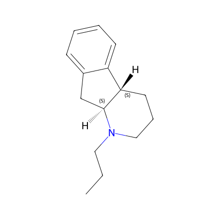 CCCN1CCC[C@H]2c3ccccc3C[C@@H]21